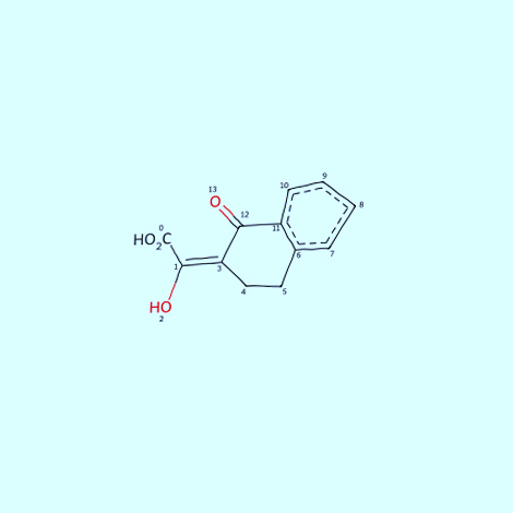 O=C(O)C(O)=C1CCc2ccccc2C1=O